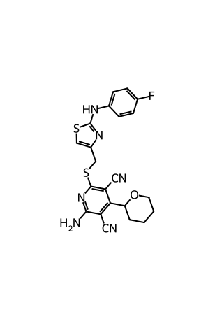 N#Cc1c(N)nc(SCc2csc(Nc3ccc(F)cc3)n2)c(C#N)c1C1CCCCO1